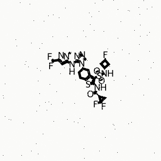 Cn1nc(C(F)F)cc1Nc1nncn1[C@H]1CCc2sc(NC(=O)[C@H]3CC3(F)F)c(S(=O)(=O)N[C@H]3C[C@H](F)C3)c2C1